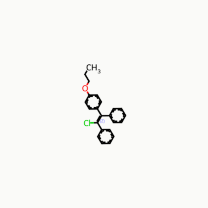 CCCOc1ccc(/C(=C(\Cl)c2ccccc2)c2ccccc2)cc1